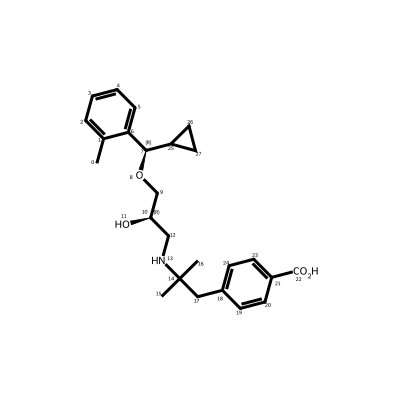 Cc1ccccc1[C@H](OC[C@H](O)CNC(C)(C)Cc1ccc(C(=O)O)cc1)C1CC1